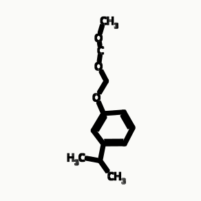 COCOCOc1cccc(C(C)C)c1